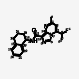 Cc1cc(C(F)F)n2cnc(C(=O)NC3CCCc4ccccc43)c2n1